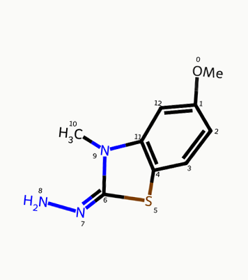 COc1ccc2sc(=NN)n(C)c2c1